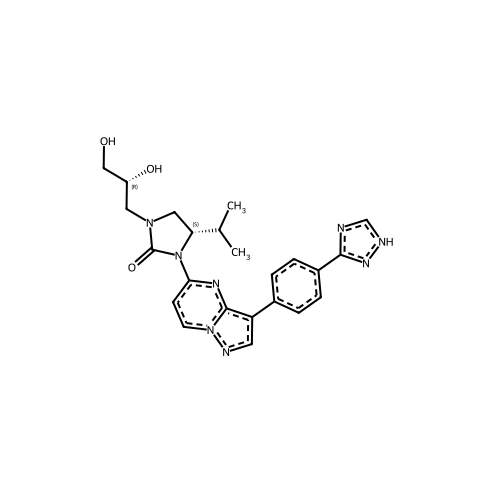 CC(C)[C@H]1CN(C[C@@H](O)CO)C(=O)N1c1ccn2ncc(-c3ccc(-c4nc[nH]n4)cc3)c2n1